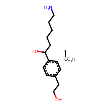 CC(=O)O.NCCCCCC(O)c1ccc(CCO)cc1